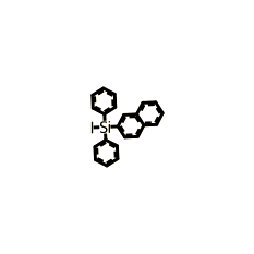 I[Si](c1ccccc1)(c1ccccc1)c1ccc2ccccc2c1